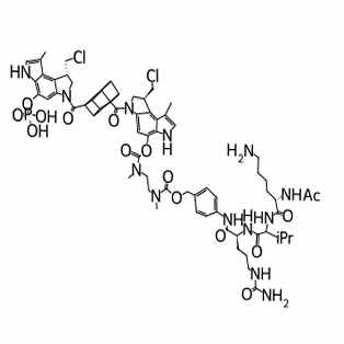 CC(=O)N[C@@H](CCCCN)C(=O)NC(C(=O)N[C@@H](CCCNC(N)=O)C(=O)Nc1ccc(COC(=O)N(C)CCN(C)C(=O)Oc2cc3c(c4c(C)c[nH]c24)[C@H](CCl)CN3C(=O)C23C4C5C2C2C3C4C52C(=O)N2C[C@@H](CCl)c3c2cc(OP(=O)(O)O)c2[nH]cc(C)c32)cc1)C(C)C